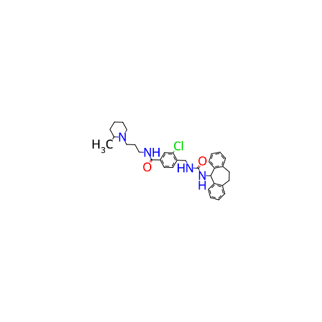 CC1CCCCN1CCCNC(=O)c1ccc(CNC(=O)NC2c3ccccc3CCc3ccccc32)c(Cl)c1